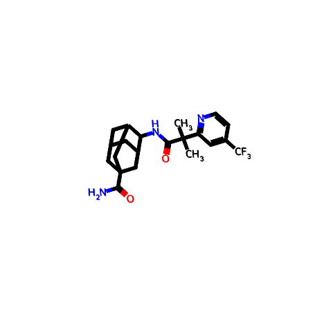 CC(C)(C(=O)NC1C2CC3CC1CC(C(N)=O)(C3)C2)c1cc(C(F)(F)F)ccn1